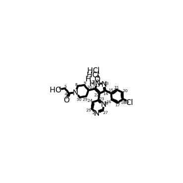 Cl.Cl.O.O=C(CO)N1CCC(c2[nH]nc(-c3ccc(Cl)cc3)c2-c2ccncn2)CC1